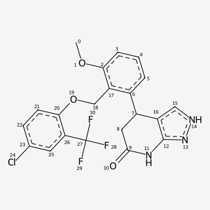 COc1cccc(C2CC(=O)Nc3n[nH]cc32)c1COc1ccc(Cl)cc1C(F)(F)F